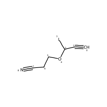 C#CC(I)OCCC#N